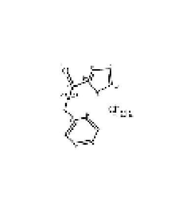 O=[C]([V+2][CH2]c1ccccc1)C1=CC=CC1.[Cl-].[Cl-]